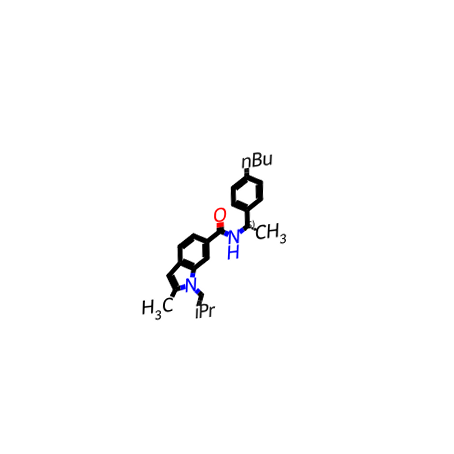 CCCCc1ccc([C@H](C)NC(=O)c2ccc3cc(C)n(CC(C)C)c3c2)cc1